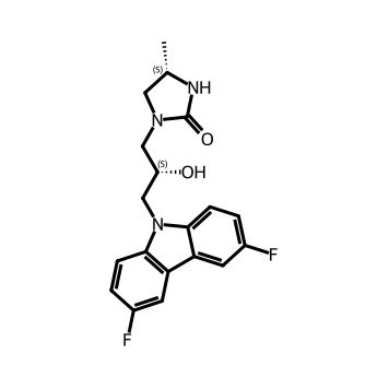 C[C@H]1CN(C[C@H](O)Cn2c3ccc(F)cc3c3cc(F)ccc32)C(=O)N1